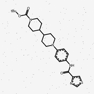 CC(C)(C)OC(=O)N1CCC(C2CCN(c3ccc(NC(=O)c4cscn4)cc3)CC2)CC1